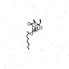 C=CC(=O)O.C=CC(=O)OC.CCCCCCC(C)ON=O